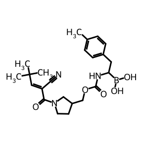 Cc1ccc(CC(NC(=O)OCC2CCN(C(=O)C(C#N)=CC(C)(C)C)C2)B(O)O)cc1